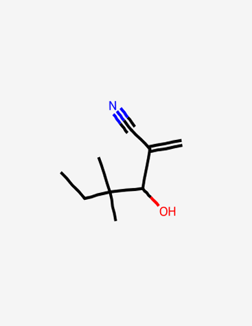 C=C(C#N)C(O)C(C)(C)CC